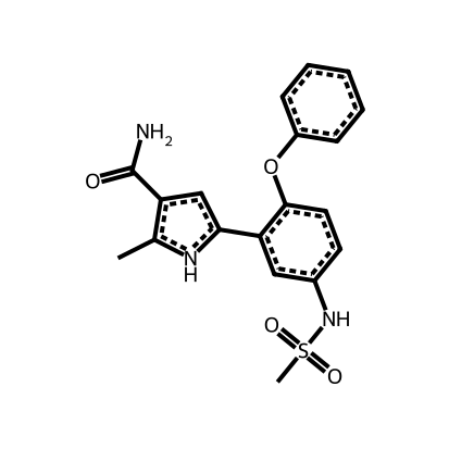 Cc1[nH]c(-c2cc(NS(C)(=O)=O)ccc2Oc2ccccc2)cc1C(N)=O